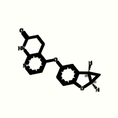 O=C1CCc2c(Oc3ccc4c(c3)[C@H]3C[C@H]3O4)ccnc2N1